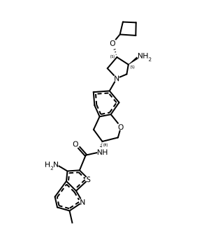 Cc1ccc2c(N)c(C(=O)N[C@H]3COc4cc(N5C[C@H](OC6CCC6)[C@@H](N)C5)ccc4C3)sc2n1